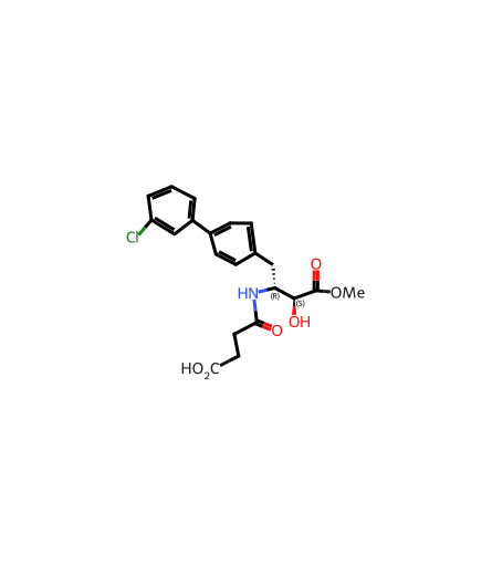 COC(=O)[C@@H](O)[C@@H](Cc1ccc(-c2cccc(Cl)c2)cc1)NC(=O)CCC(=O)O